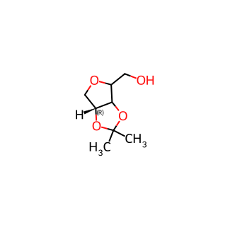 CC1(C)OC2C(CO)OC[C@H]2O1